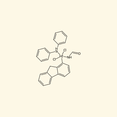 O=C[NH][Hf]([Cl])([Cl])([c]1cccc2c1Cc1ccccc1-2)[SiH](c1ccccc1)c1ccccc1